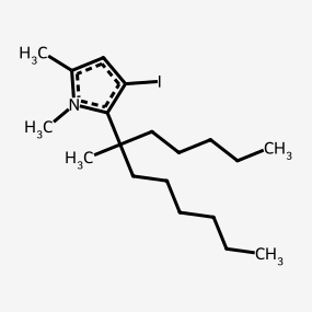 CCCCCCC(C)(CCCCC)c1c(I)cc(C)n1C